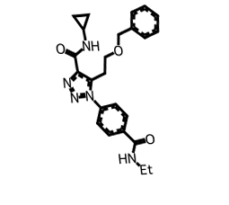 CCNC(=O)c1ccc(-n2nnc(C(=O)NC3CC3)c2CCOCc2ccccc2)cc1